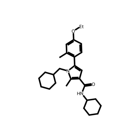 CCOc1ccc(-c2cc(C(=O)NC3CCCCC3)c(C)n2CC2CCCCC2)c(C)c1